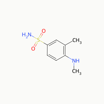 CNc1ccc(S(N)(=O)=O)cc1C